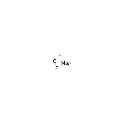 FOF.[Na].[V]